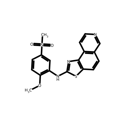 COc1ccc(S(C)(=O)=O)cc1Nc1nc2c(ccc3cnccc32)s1